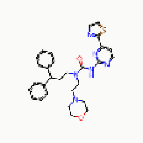 O=C(Nc1nccc(-c2nccs2)n1)N(CCC(c1ccccc1)c1ccccc1)CCN1CCOCC1